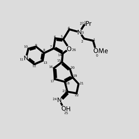 COCCN(Cc1cc(-c2ccncc2)c(-c2ccc3c(c2)CCC3=NO)o1)C(C)C